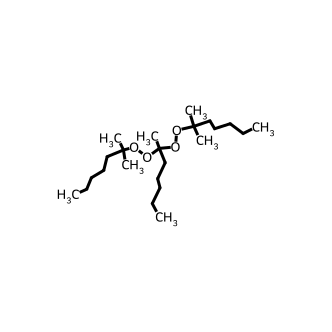 CCCCCC(C)(C)OOC(C)(CCCCC)OOC(C)(C)CCCCC